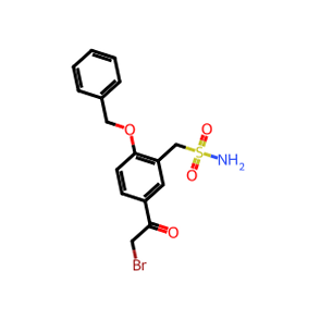 NS(=O)(=O)Cc1cc(C(=O)CBr)ccc1OCc1ccccc1